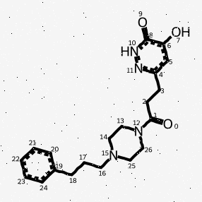 O=C(CCc1cc(O)c(=O)[nH]n1)N1CCN(CCCc2ccccc2)CC1